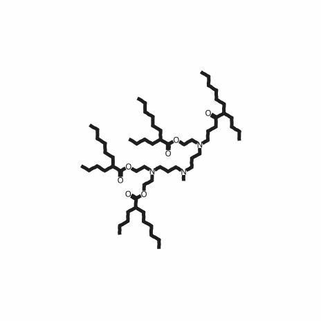 CCCCCCC(CCCC)C(=O)CCCN(CCCN(C)CCCN(CCOC(=O)C(CCCC)CCCCCC)CCOC(=O)C(CCCC)CCCCCC)CCOC(=O)C(CCCC)CCCCCC